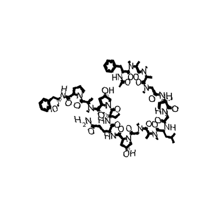 CC[C@@](C)(NC(=O)CN(C)C(=O)C(C)N(C)C(=O)C(C)N(C)C(=O)C(Cc1ccccc1)NC(C)=O)C(=O)NCC(=O)NC(CC(C)C)C(=O)N(C)C(C)C(=O)N(C)CC(=O)N1C[C@@H](O)CC1C(=O)NC(CCC(N)=O)C(=O)N[C@](C)(CC)C(=O)N1C[C@@H](O)CC1C(=O)N(C)C(C)C(=O)N1CCCC1C(=O)N[C@H](CO)Cc1ccccc1